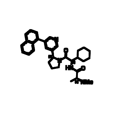 CN[C@@H](C)C(=O)N[C@H](C(=O)N1CCC[C@H]1c1cncc(-c2cccc3ccccc23)c1)C1CCCCC1